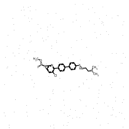 CON(F)N1c2cc(Cl)c(-c3ccc(-c4ccc(SNCCN(C)C)cc4)cc3)nc21